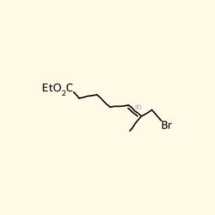 CCOC(=O)CCC/C=C(\C)CBr